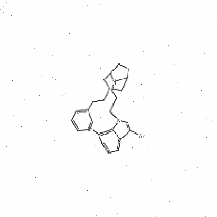 CC(=O)c1cn(CCCN2C3CCC2CC(CCc2ccccc2)C3)c2c(Br)cccc12